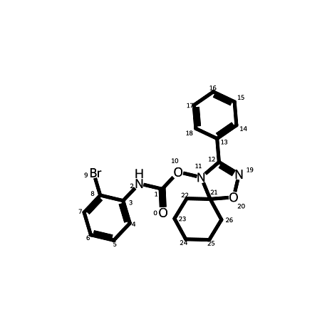 O=C(Nc1ccccc1Br)ON1C(c2ccccc2)=NOC12CCCCC2